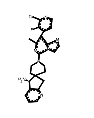 Cc1nc(N2CCC3(CC2)Cc2ncccc2[C@H]3N)n2ccnc2c1-c1ccnc(Cl)c1F